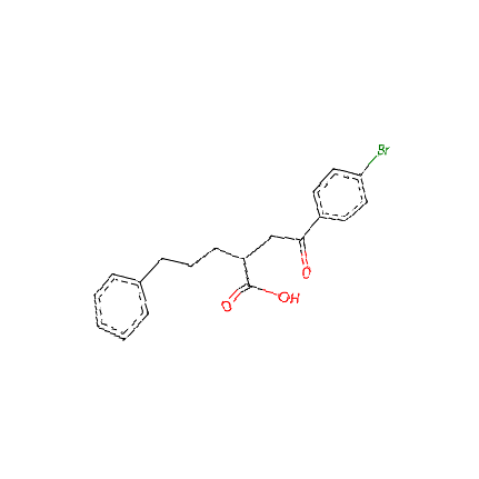 O=C(CC(CCCc1ccccc1)C(=O)O)c1ccc(Br)cc1